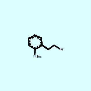 CC(=O)Nc1ccccc1CCC(C)C